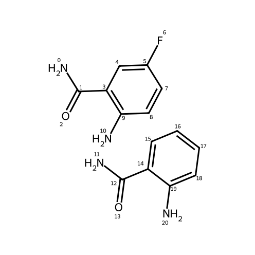 NC(=O)c1cc(F)ccc1N.NC(=O)c1ccccc1N